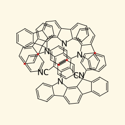 N#Cc1c(-n2c3ccccc3c3ccccc32)c(-n2c3ccccc3c3ccc4c(c32)C(c2ccccc2)(c2ccccc2)c2ccccc2-4)c(-n2c3ccccc3c3ccccc32)c(C#N)c1-n1c2ccccc2c2ccc3c(c21)C(c1ccccc1)(c1ccccc1)c1ccccc1-3